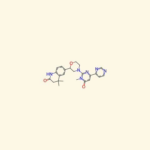 Cn1c(N2CCOC(c3ccc4c(c3)C(C)(C)CC(=O)N4)C2)nc(-c2ccncn2)cc1=O